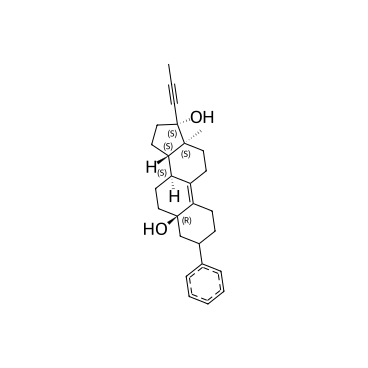 CC#C[C@]1(O)CC[C@H]2[C@@H]3CC[C@@]4(O)CC(c5ccccc5)CCC4=C3CC[C@@]21C